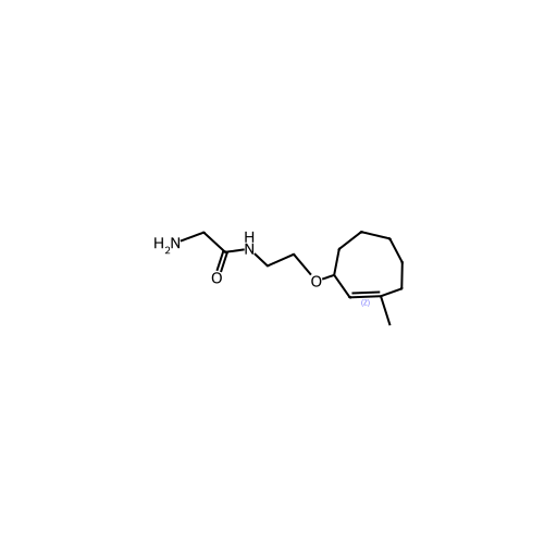 C/C1=C/C(OCCNC(=O)CN)CCCCC1